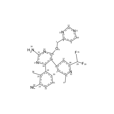 Cc1cc(-c2c(OCc3ccncn3)nc(N)nc2-c2cccc(C#N)c2C)cc(C(F)F)n1